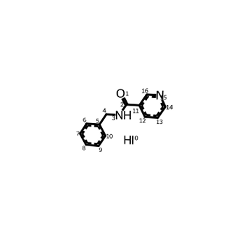 I.O=C(NCc1ccccc1)c1cccnc1